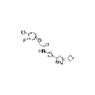 O=C(COc1ccc(Cl)c(F)c1)NC12CC(c3cn(C4CCC4)nn3)(C1)C2